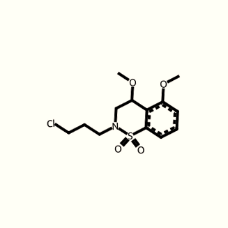 COc1cccc2c1C(OC)CN(CCCCl)S2(=O)=O